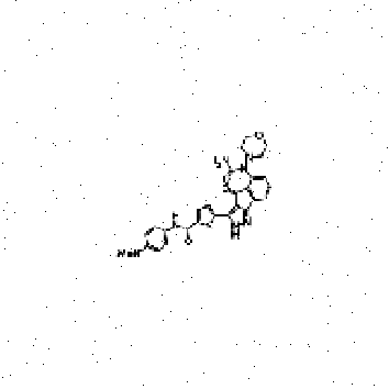 CNc1ccc(NC(=O)c2ccc(-c3[nH]nc4c3C(=O)c3c-4cccc3N(C(N)=O)N3CCOCC3)s2)cc1